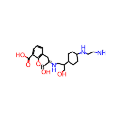 CNCCNC1CCC(C(CO)CN[C@H]2Cc3cccc(C(=O)O)c3OB2O)CC1